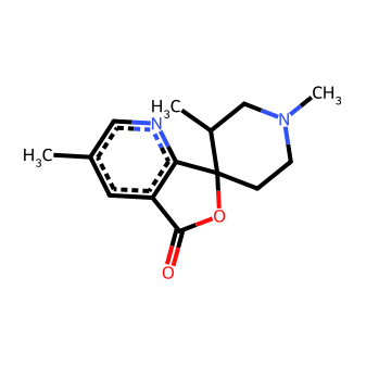 Cc1cnc2c(c1)C(=O)OC21CCN(C)CC1C